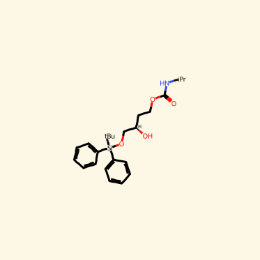 CC(C)NC(=O)OCC[C@@H](O)CO[Si](c1ccccc1)(c1ccccc1)C(C)(C)C